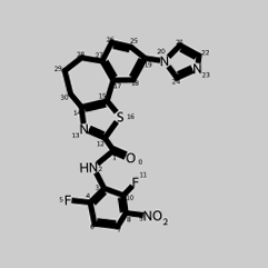 O=C(Nc1c(F)ccc([N+](=O)[O-])c1F)c1nc2c(s1)-c1cc(-n3ccnc3)ccc1CCC2